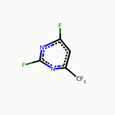 Fc1cc(C(F)(F)F)nc(F)n1